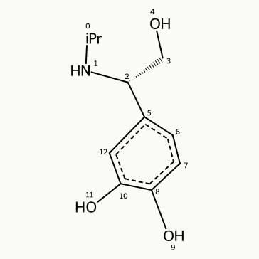 CC(C)N[C@H](CO)c1ccc(O)c(O)c1